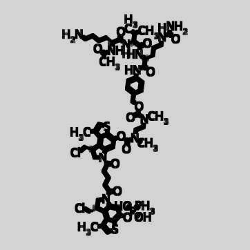 CC(=O)N[C@@H](CCCCN)C(=O)N[C@H](C(=O)N[C@@H](CCCNC(N)=O)C(=O)Nc1ccc(COC(=O)N(C)CCN(C)C(=O)Oc2cc3c(c4c(C)csc24)[C@H](CCl)CN3C(=O)CCCC(=O)N2C[C@@H](CCl)c3c2cc(OP(O)(O)=[PH3])c2scc(C)c32)cc1)C(C)C